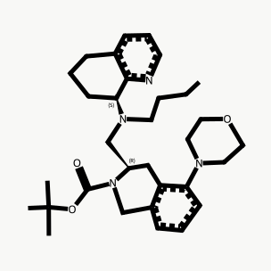 CCCCN(C[C@H]1Cc2c(cccc2N2CCOCC2)CN1C(=O)OC(C)(C)C)[C@H]1CCCc2cccnc21